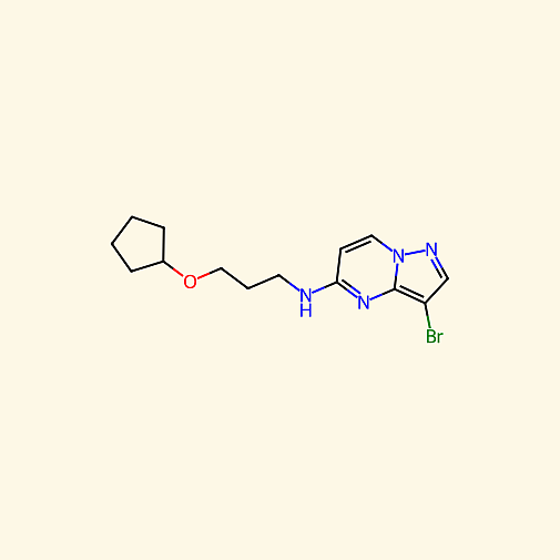 Brc1cnn2ccc(NCCCOC3CCCC3)nc12